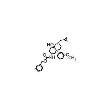 COc1cccc([C@@]23CCN(CC4CC4)C[C@@]2(O)CC[C@H](NC(=O)OCc2ccccc2)C3)c1